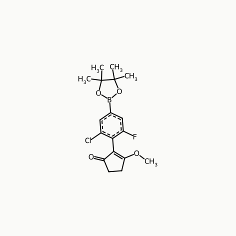 COC1=C(c2c(F)cc(B3OC(C)(C)C(C)(C)O3)cc2Cl)C(=O)CC1